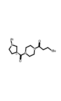 CC(C)N1CC[C@H](C(=O)N2CCN(C(=O)CCC(C)(C)C)CC2)C1